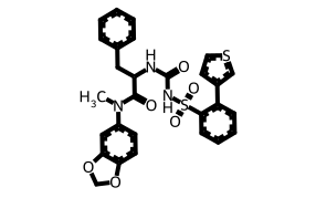 CN(C(=O)C(Cc1ccccc1)NC(=O)NS(=O)(=O)c1ccccc1-c1ccsc1)c1ccc2c(c1)OCO2